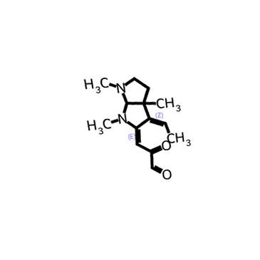 C/C=C1\C(=C/C(=O)C=O)N(C)C2N(C)CCC12C